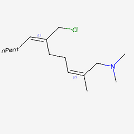 CCCCC/C=C(/CCl)CC/C=C(/C)CN(C)C